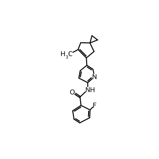 CC1=C(c2ccc(NC(=O)c3ccccc3F)nc2)CC2(CC2)C1